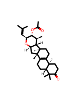 CC(=O)O[C@@H]1[C@@H](C)[C@H]2[C@@H](C[C@@]3(C)C4=C(CC[C@]23C)[C@@]2(C)CCC(=O)C(C)(C)[C@@H]2CC4)O[C@H]1C=C(C)C